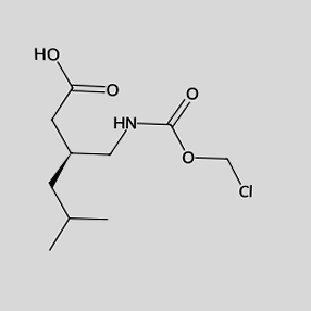 CC(C)C[C@H](CNC(=O)OCCl)CC(=O)O